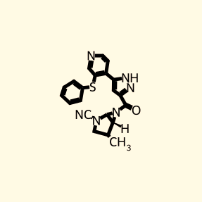 CC1CN(C#N)C2[C@@H]1N2C(=O)c1cc(-c2ccncc2Sc2ccccc2)[nH]n1